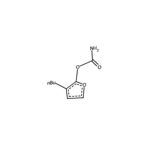 CCCCc1ccoc1OC(N)=O